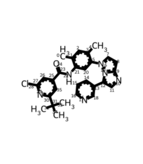 Cc1cc(C)c(-n2ccc3ncc(-c4cccnc4)n32)cc1NC(=O)c1cc(Cl)nc(C(C)(C)C)c1